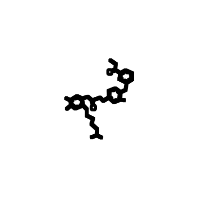 CCC(=O)c1cccc(Cc2ccc(CCC(=O)Cc3cc(C)c(C)cc3CCCCCC(C)C)cc2C)c1